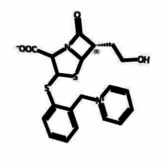 O=C([O-])C1C(Sc2ccccc2C[n+]2ccccc2)SC2[C@@H](CCO)C(=O)N12